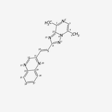 Cc1ncc(C)n2nc(C=Cc3cnc4ccccc4n3)nc12